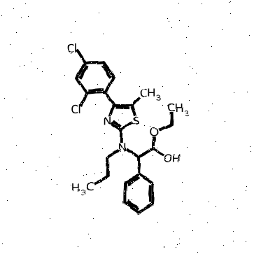 CCCN(c1nc(-c2ccc(Cl)cc2Cl)c(C)s1)C(c1ccccc1)C(O)OCC